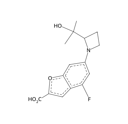 CC(C)(O)C1CCN1c1cc(F)c2cc(C(=O)O)oc2c1